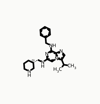 CC(C)c1cnc2c(NCc3ccccc3)nc(NC[C@H]3CCCNC3)cn12